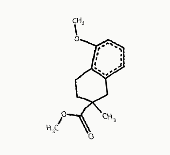 COC(=O)C1(C)CCc2c(cccc2OC)C1